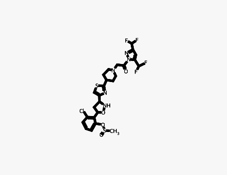 CS(=O)Oc1cccc(Cl)c1C1CC(c2csc(C3CCN(CC(=O)n4nc(C(F)F)cc4C(F)F)CC3)n2)NO1